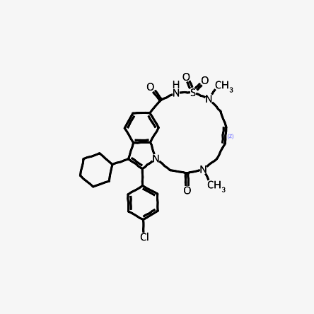 CN1C/C=C\CN(C)S(=O)(=O)NC(=O)c2ccc3c(C4CCCCC4)c(-c4ccc(Cl)cc4)n(c3c2)CC1=O